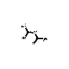 CCCC(O)OC(Cl)CCC